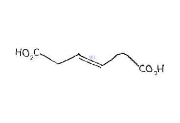 O=C(O)C/C=C/CC(=O)O